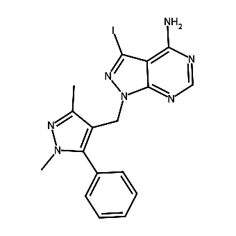 Cc1nn(C)c(-c2ccccc2)c1Cn1nc(I)c2c(N)ncnc21